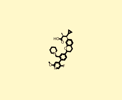 COc1cc(-c2ccc(C3CCc4ccc([C@H](C5CC5)[C@H](C)C(=O)O)cc4O3)cc2CN2CCCCC2)c(F)cn1